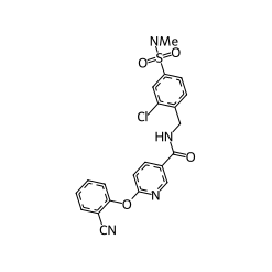 CNS(=O)(=O)c1ccc(CNC(=O)c2ccc(Oc3ccccc3C#N)nc2)c(Cl)c1